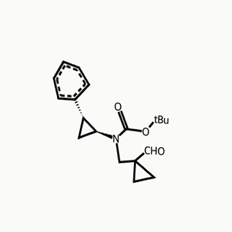 CC(C)(C)OC(=O)N(CC1(C=O)CC1)[C@H]1C[C@@H]1c1ccccc1